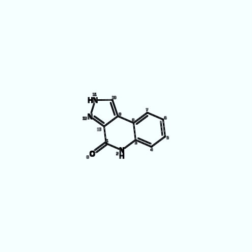 O=c1[nH]c2ccccc2c2c[nH]nc12